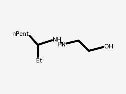 CCCCCC(CC)NNCCO